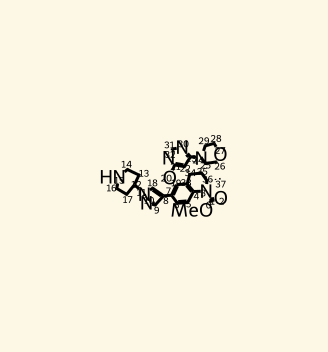 COC(=O)N1c2ccc(-c3cnn(C4CCNCC4)c3)c(Oc3cc(N4CCOCC4)ncn3)c2CC[C@@H]1C